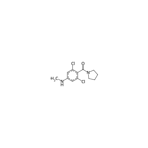 [CH2]Nc1cc(Cl)c(C(=O)N2CCCC2)c(Cl)c1